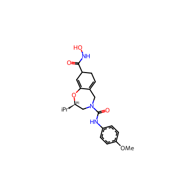 COc1ccc(NC(=O)N2CC3=CCC(C(=O)NO)C=C3O[C@H](C(C)C)C2)cc1